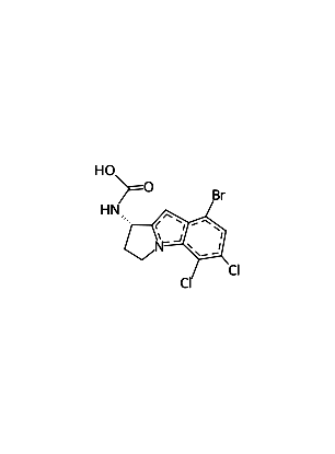 O=C(O)N[C@H]1CCn2c1cc1c(Br)cc(Cl)c(Cl)c12